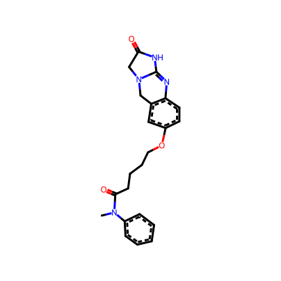 CN(C(=O)CCCCOc1ccc2c(c1)CN1CC(=O)NC1=N2)c1ccccc1